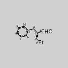 CCC=C(C=O)Cc1ccccc1